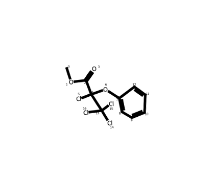 COC(=O)C(Cl)(Oc1ccccc1)C(Cl)(Cl)Cl